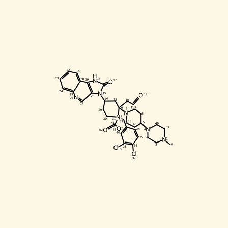 CN1CCN(C2CCN(C3(CC=O)CC(n4c(=O)[nH]c5c6ccccc6ncc54)CC[N@+]3(Cc3ccc(Cl)c(Cl)c3)C(=O)[O-])CC2)CC1